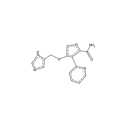 NC(=O)c1occ(OCc2cnc[nH]2)c1-c1ccccn1